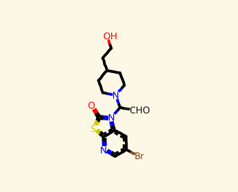 O=CC(N1CCC(CCO)CC1)n1c(=O)sc2ncc(Br)cc21